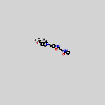 CC(C)C(=O)c1ccc2c(c1)CCN(CCC1CCC(NC(=O)CCCCNC(=O)c3ccccc3)CC1)CC2